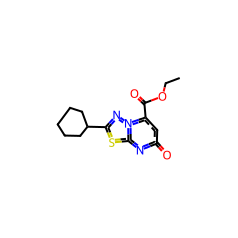 CCOC(=O)c1cc(=O)nc2sc(C3CCCCC3)nn12